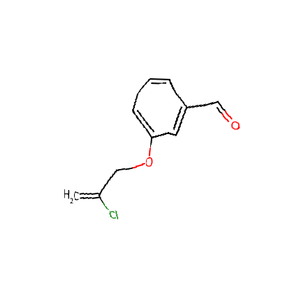 C=C(Cl)COc1cccc(C=O)c1